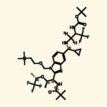 [2H]C([2H])(N[C@@H](c1ccc2c(c1)nc([C@@H](N[S@+]([O-])C(C)(C)C)[C@@H](C)O[C@@H](C)C(F)(F)F)n2COCC[Si](C)(C)C)C1CC1)C(NC(=O)OC(C)(C)C)C(F)(F)F